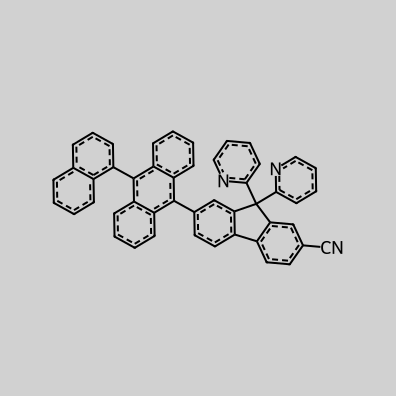 N#Cc1ccc2c(c1)C(c1ccccn1)(c1ccccn1)c1cc(-c3c4ccccc4c(-c4cccc5ccccc45)c4ccccc34)ccc1-2